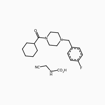 N#CCNC(=O)O.O=C(C1CCCCC1)N1CCN(Cc2ccc(F)cc2)CC1